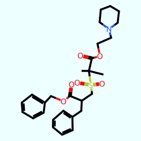 CC(C)(C(=O)OCCN1CCCCC1)S(=O)(=O)CC(Cc1ccccc1)C(=O)OCc1ccccc1